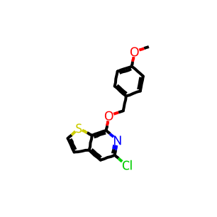 COc1ccc(COc2nc(Cl)cc3ccsc23)cc1